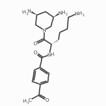 CC(=O)c1ccc(C(=O)N[C@@H](CCCCN)C(=O)N2C[C@H](N)C[C@H](N)C2)cc1